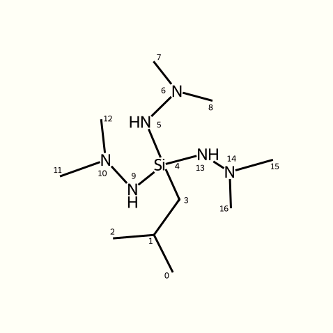 CC(C)C[Si](NN(C)C)(NN(C)C)NN(C)C